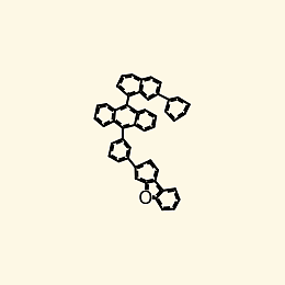 c1ccc(-c2ccc3cccc(-c4c5ccccc5c(-c5cccc(-c6ccc7c(c6)oc6ccccc67)c5)c5ccccc45)c3c2)cc1